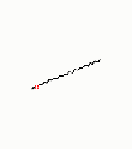 C=COCCCCCCCCCCCCCCCCCCCCCCCCC